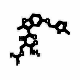 Cc1ncc(COc2ccc3oc(C)c(C(=O)NC(COC(F)F)C(N)=O)c3c2)s1